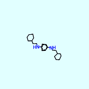 c1cc(NCCC2CCCCC2)ccc1NCCC1CCCCC1